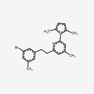 Cc1cc(Br)cc(CCc2cc(C)cc(-n3c(C)ccc3C)n2)c1